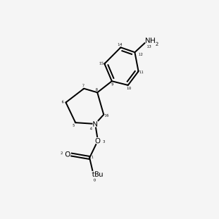 CC(C)(C)C(=O)ON1CCCC(c2ccc(N)cc2)C1